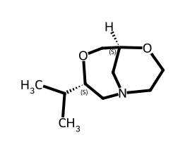 CC(C)[C@H]1CN2CCO[C@H](CO1)C2